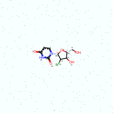 O=c1ccn([C@@H]2O[C@H](CO)C(O)C2Br)c(=O)[nH]1